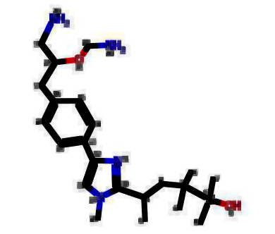 CC(CC(C)(C)[Si](C)(C)O)c1nc(-c2ccc(CC(CN)OCN)cc2)cn1C